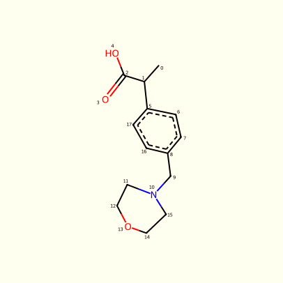 CC(C(=O)O)c1ccc(CN2CCOCC2)cc1